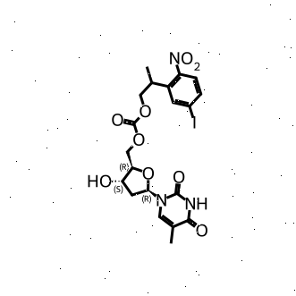 Cc1cn([C@H]2C[C@H](O)[C@@H](COC(=O)OCC(C)c3cc(I)ccc3[N+](=O)[O-])O2)c(=O)[nH]c1=O